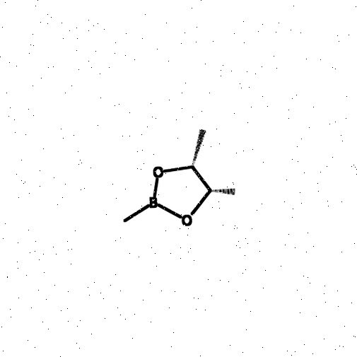 CB1O[C@@H](C)[C@@H](C)O1